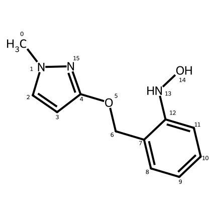 Cn1ccc(OCc2ccccc2NO)n1